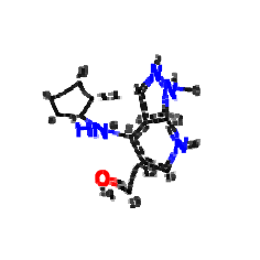 Cn1ncc2c(NC3CCCC3)c(C=O)cnc21